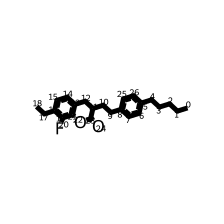 CCCCCc1ccc(CCC2Cc3ccc(CC)c(F)c3OC2=O)cc1